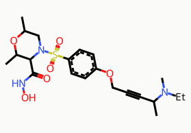 CCN(C)C(C)C#CCOc1ccc(S(=O)(=O)N2CC(C)OC(C)C2C(=O)NO)cc1